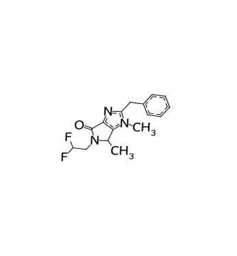 CC1c2c(nc(Cc3ccccc3)n2C)C(=O)N1CC(F)F